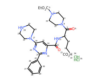 CCOC(=O)N1CCN(C(=O)C(CCC(=O)O)NC(=O)c2cc(N3CCNCC3)nc(-c3ccccc3)n2)CC1.Cl.Cl